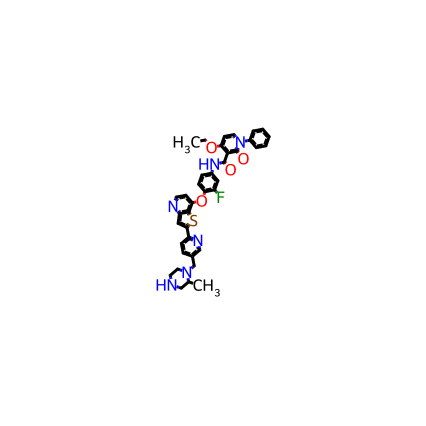 CCOc1ccn(-c2ccccc2)c(=O)c1C(=O)Nc1ccc(Oc2ccnc3cc(-c4ccc(CN5CCNCC5C)cn4)sc23)c(F)c1